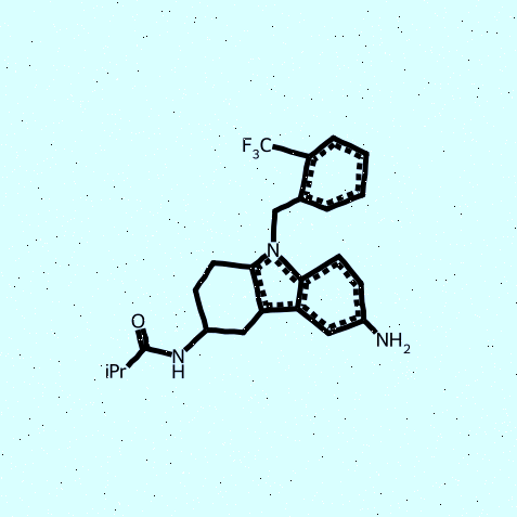 CC(C)C(=O)NC1CCc2c(c3cc(N)ccc3n2Cc2ccccc2C(F)(F)F)C1